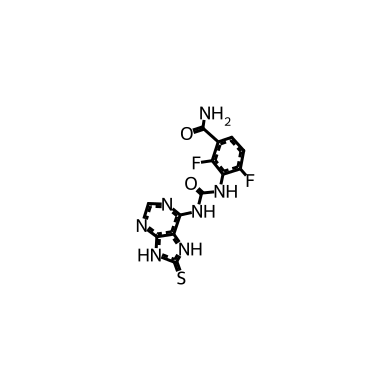 NC(=O)c1ccc(F)c(NC(=O)Nc2ncnc3[nH]c(=S)[nH]c23)c1F